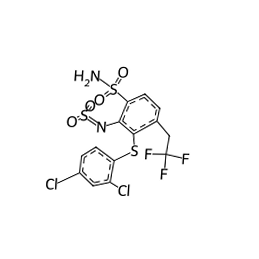 NS(=O)(=O)c1ccc(CC(F)(F)F)c(Sc2ccc(Cl)cc2Cl)c1N=S(=O)=O